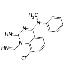 CN(c1ccccc1)c1nc(=N)n(C=N)c2c(Cl)cccc12